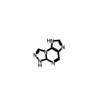 C1=NNC2N=Cc3nc[nH]c3N12